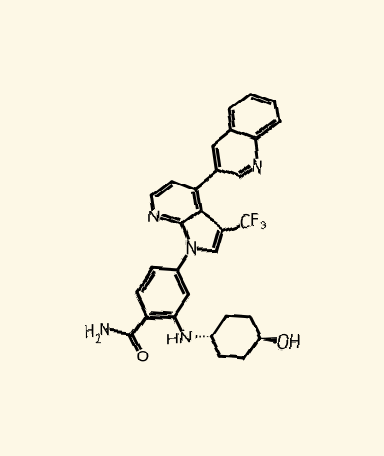 NC(=O)c1ccc(-n2cc(C(F)(F)F)c3c(-c4cnc5ccccc5c4)ccnc32)cc1N[C@H]1CC[C@H](O)CC1